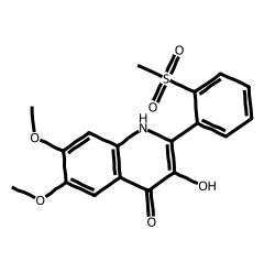 COc1cc2[nH]c(-c3ccccc3S(C)(=O)=O)c(O)c(=O)c2cc1OC